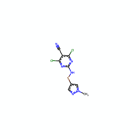 Cn1cc(SNc2nc(Cl)c(C#N)c(Cl)n2)cn1